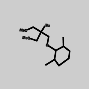 CCC(C)C(COC)(COC)COC1C(C)CCCC1C